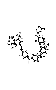 C=C(C)CC(C)Cc1ccc(Nc2ccc(Nc3ccc(Nc4ccc(NCc5cc(C(C)(C)C)c(O)c(C(C)(C)C)c5)cc4)cc3)cc2)cc1